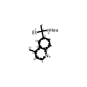 CCCCCCC(C)(CC)c1ccc2nccc(C)c2c1